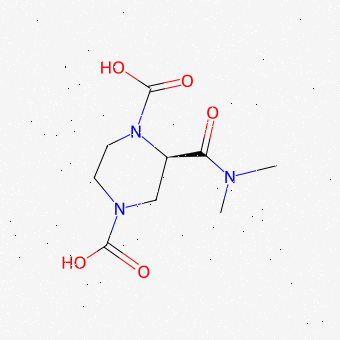 CN(C)C(=O)[C@H]1CN(C(=O)O)CCN1C(=O)O